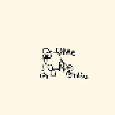 CCCCC(=O)O[C@@H]1CC2C[C@H](OC)CC3CCC[C@@H](C[C@@H](/C=C/CC(C)C)OC(=O)C[C@H](C1)O2)O3